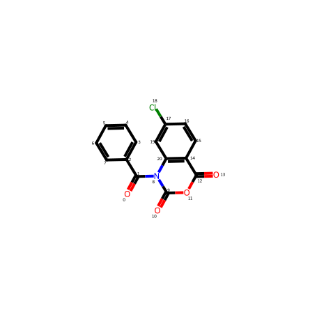 O=C(c1ccccc1)n1c(=O)oc(=O)c2ccc(Cl)cc21